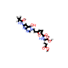 COC(=O)CC[C@H](NC(=O)c1ccc(CCn2cnc3nc(NC(=O)C(C)(C)C)cc-3c2O)o1)C(=O)OC